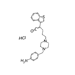 Cl.Nc1ccc(CN2CCN(CCCC(=C=O)c3csc4ccccc34)CC2)cc1